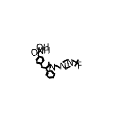 Cc1c(Cc2ccc(C(=O)NO)cc2)c2ccccc2n1CCN1CCN(CC(C)(C)F)CC1